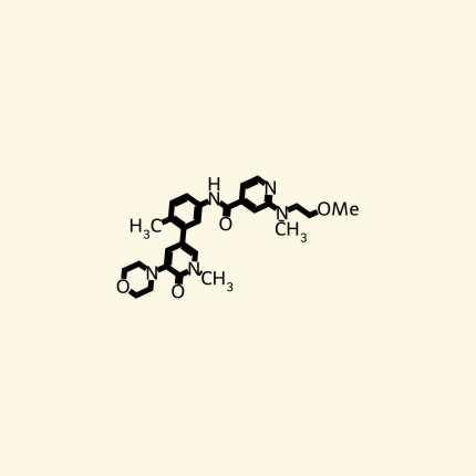 COCCN(C)c1cc(C(=O)Nc2ccc(C)c(-c3cc(N4CCOCC4)c(=O)n(C)c3)c2)ccn1